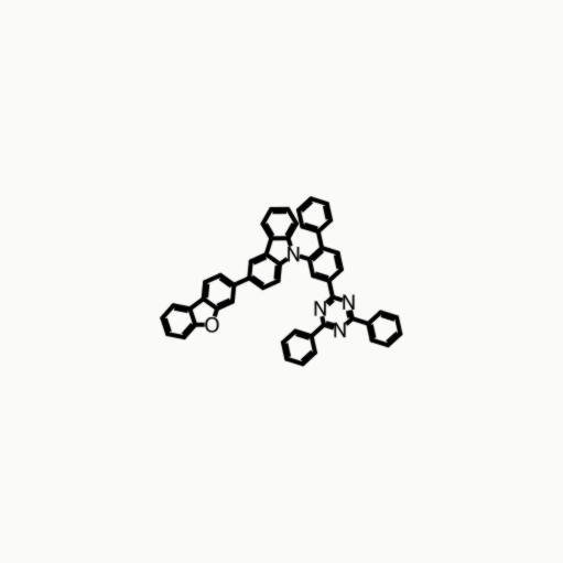 c1ccc(-c2nc(-c3ccccc3)nc(-c3ccc(-c4ccccc4)c(-n4c5ccccc5c5cc(-c6ccc7c(c6)oc6ccccc67)ccc54)c3)n2)cc1